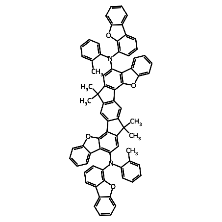 Cc1ccccc1N(c1cccc2c1oc1ccccc12)c1cc2c(c3oc4ccccc4c13)-c1cc3c(cc1C2(C)C)-c1c(cc(N(c2ccccc2C)c2cccc4c2oc2ccccc24)c2c1oc1ccccc12)C3(C)C